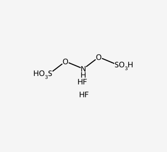 F.F.O=S(=O)(O)ONOS(=O)(=O)O